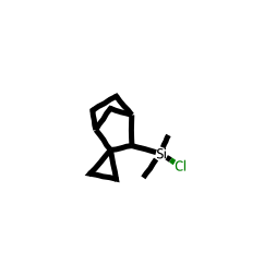 C[Si](C)(Cl)C1C2CCC(C2)C12CC2